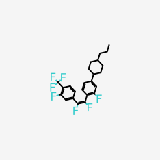 CCCC1CCC(c2ccc(/C(F)=C(/F)c3ccc(C(F)(F)F)c(F)c3)c(F)c2)CC1